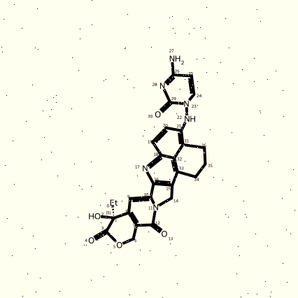 CC[C@@]1(O)C(=O)OCc2c1cc1n(c2=O)Cc2c-1nc1ccc(Nn3ccc(N)nc3=O)c3c1c2CCC3